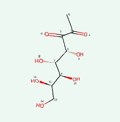 CC(=O)C(=O)[C@H](O)[C@@H](O)[C@@H](O)[C@H](O)CO